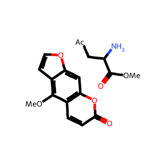 COC(=O)C(N)CC(C)=O.COc1c2ccoc2cc2oc(=O)ccc12